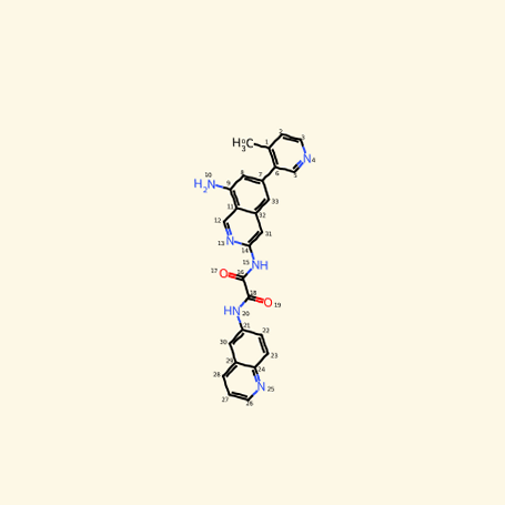 Cc1ccncc1-c1cc(N)c2cnc(NC(=O)C(=O)Nc3ccc4ncccc4c3)cc2c1